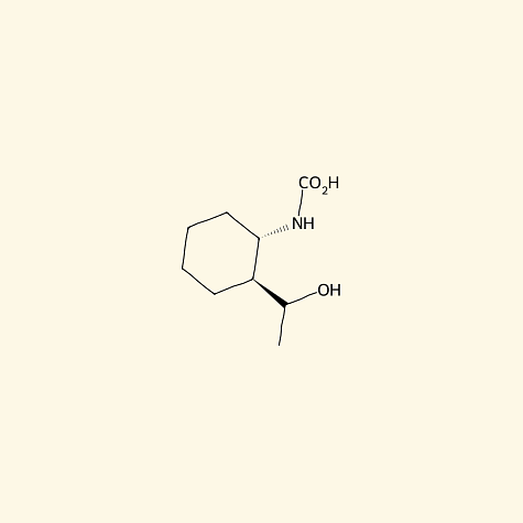 CC(O)[C@H]1CCCC[C@@H]1NC(=O)O